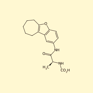 C[C@H](NC(=O)O)C(=O)Nc1ccc2oc3c(c2c1)CCCCC3